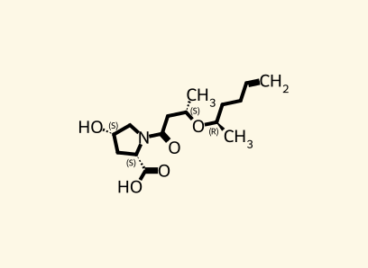 C=CCC[C@@H](C)O[C@@H](C)CC(=O)N1C[C@@H](O)C[C@H]1C(=O)O